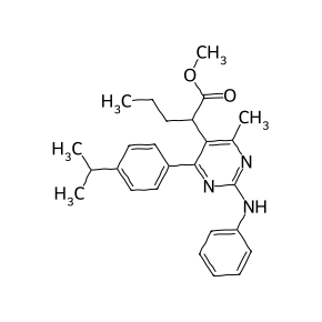 CCCC(C(=O)OC)c1c(C)nc(Nc2ccccc2)nc1-c1ccc(C(C)C)cc1